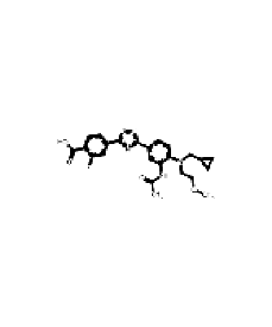 COCCN(CC1CC1)c1ccc(-c2nc(-c3ccc(C(=O)O)c(F)c3)no2)cc1NC(C)=O